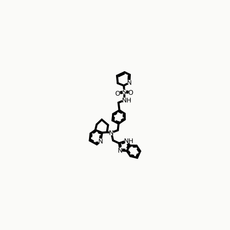 O=S(=O)(NCc1ccc(CN(Cc2nc3ccccc3[nH]2)C2CCCc3cccnc32)cc1)C1CC=CC=N1